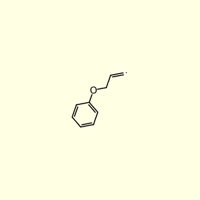 [CH]=CCOc1ccccc1